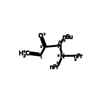 C=CC(=O)N(CCCC)N(CCC)CCC